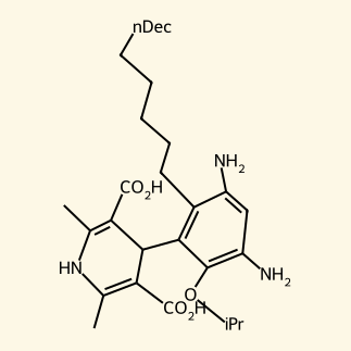 CCCCCCCCCCCCCCCc1c(N)cc(N)c(OC(C)C)c1C1C(C(=O)O)=C(C)NC(C)=C1C(=O)O